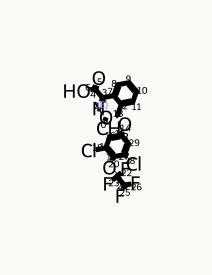 CO/N=C(/C(=O)O)c1ccccc1COc1cc(Cl)c(OC(F)(F)C(F)F)c(Cl)c1